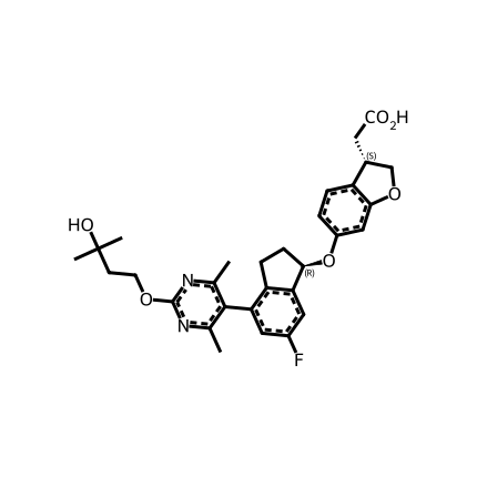 Cc1nc(OCCC(C)(C)O)nc(C)c1-c1cc(F)cc2c1CC[C@H]2Oc1ccc2c(c1)OC[C@H]2CC(=O)O